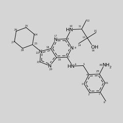 Cc1ccc(CNc2nc(NC(C)C(C)(C)O)nc3c2ncn3C2CCCCC2)c(N)c1